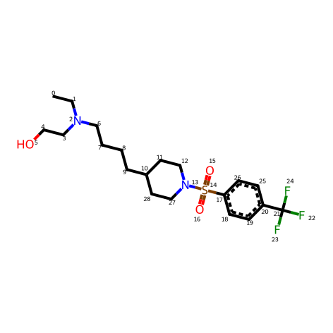 CCN(CCO)CCCCC1CCN(S(=O)(=O)c2ccc(C(F)(F)F)cc2)CC1